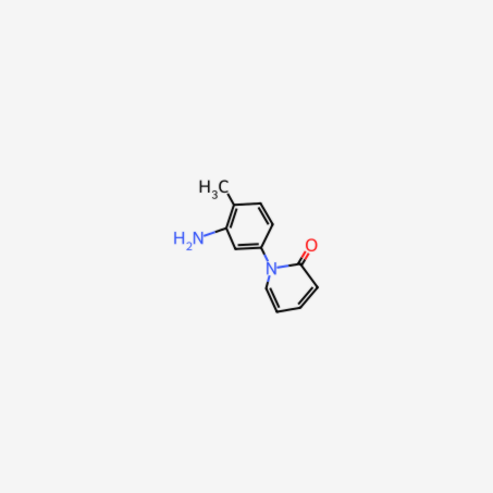 Cc1ccc(-n2ccccc2=O)cc1N